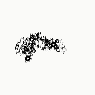 Cc1c(C)c(S(=O)(=O)N(C)C(=N)NCCC[C@H](NC(=O)[C@H](CC(C)C)NC(=O)NNC(=O)[C@H](Cc2ccccc2)NC(=O)[C@@H](N)[C@@H](C)OC(C)(C)C)C(=O)O)c(C)c2c1OC(C)(C)C2